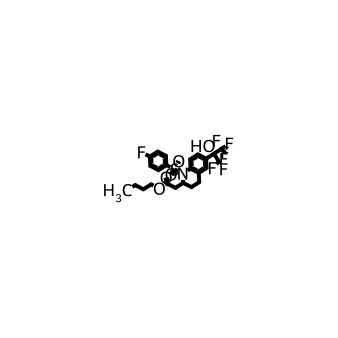 CCCCOC(=O)CC1CCc2cc(C(O)(C(F)(F)F)C(F)(F)F)ccc2N1S(=O)(=O)c1ccc(F)cc1